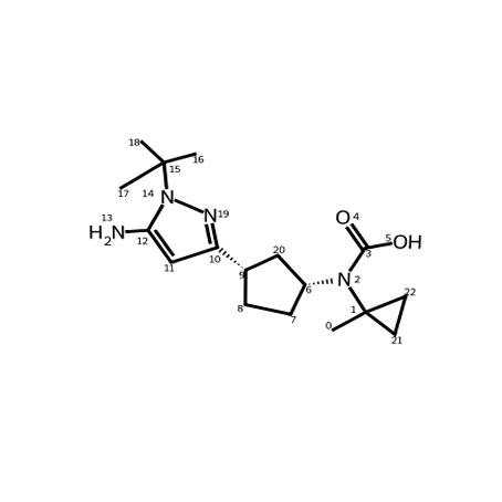 CC1(N(C(=O)O)[C@@H]2CC[C@H](c3cc(N)n(C(C)(C)C)n3)C2)CC1